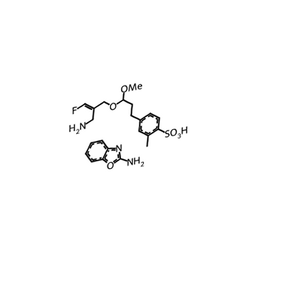 COC(CCc1ccc(S(=O)(=O)O)c(C)c1)OCC(=CF)CN.Nc1nc2ccccc2o1